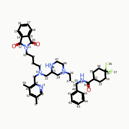 Cc1cnc(CN(CCCCN2C(=O)c3ccccc3C2=O)CC2CN(CC[C@H](NC(=O)C3CCC(F)(F)CC3)c3ccccc3)CCN2)c(C)c1